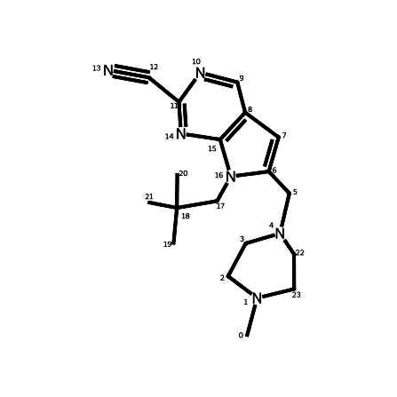 CN1CCN(Cc2cc3cnc(C#N)nc3n2CC(C)(C)C)CC1